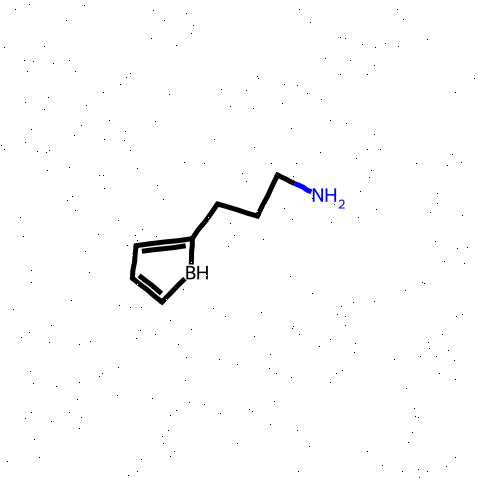 NCCCC1=CC=CB1